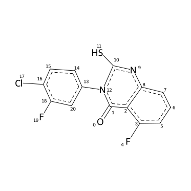 O=c1c2c(F)cccc2nc(S)n1-c1ccc(Cl)c(F)c1